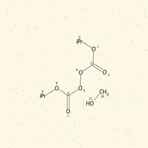 CC(C)OC(=O)OOC(=O)OC(C)C.CO